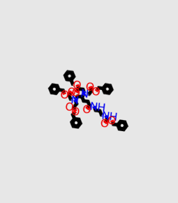 O=C(CCC(CN(CC(=O)OCc1ccccc1)CC(=O)OCc1ccccc1)N(CC(=O)OCc1ccccc1)CC(=O)OCc1ccccc1)NCCCNC(=O)OCc1ccccc1